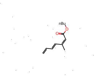 C=CC=CC(C)=CC(=O)OCCCC